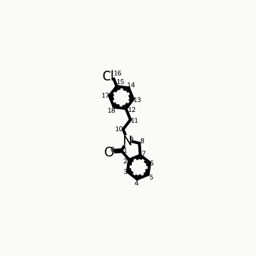 O=C1c2ccccc2CN1CCc1ccc(Cl)cc1